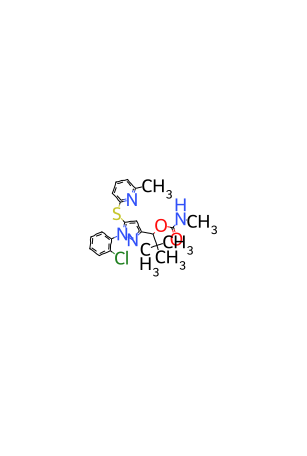 CNC(=O)OC(c1cc(Sc2cccc(C)n2)n(-c2ccccc2Cl)n1)C(C)(C)C